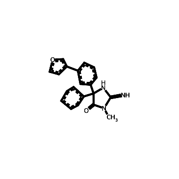 CN1C(=N)NC(c2ccccc2)(c2cccc(-c3ccoc3)c2)C1=O